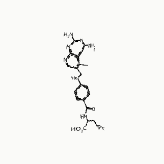 Cc1c(CNc2ccc(C(=O)NC(CC(C)C)C(=O)O)cc2)cnc2nc(N)nc(N)c12